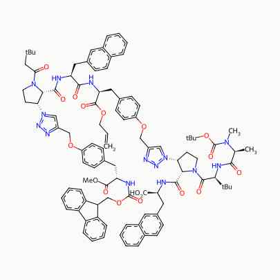 C=CCOC(=O)[C@H](Cc1ccc(OCc2cn([C@@H]3CCN(C(=O)[C@@H](NC(=O)[C@H](C)N(C)C(=O)OC(C)(C)C)C(C)(C)C)[C@@H]3C(=O)N[C@@H](Cc3ccc4ccccc4c3)C(=O)O)nn2)cc1)NC(=O)[C@H](Cc1ccc2ccccc2c1)NC(=O)[C@@H]1[C@H](n2cc(COc3ccc(C[C@H](NC(=O)OCC4c5ccccc5-c5ccccc54)C(=O)OC)cc3)nn2)CCN1C(=O)CC(C)(C)C